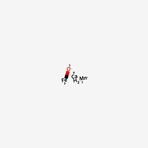 [CaH2].[Mn].[O]=[Fe]